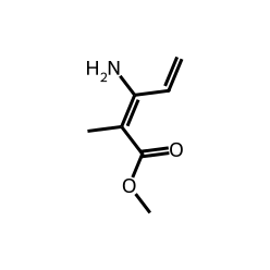 C=CC(N)=C(C)C(=O)OC